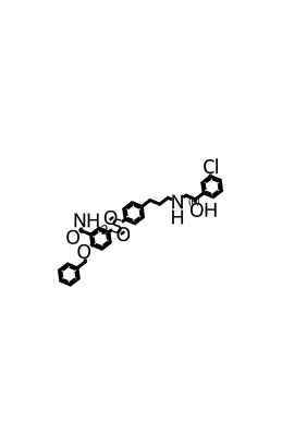 NC(=O)c1cc(S(=O)(=O)c2ccc(CCCNC[C@H](O)c3cccc(Cl)c3)cc2)ccc1OCc1ccccc1